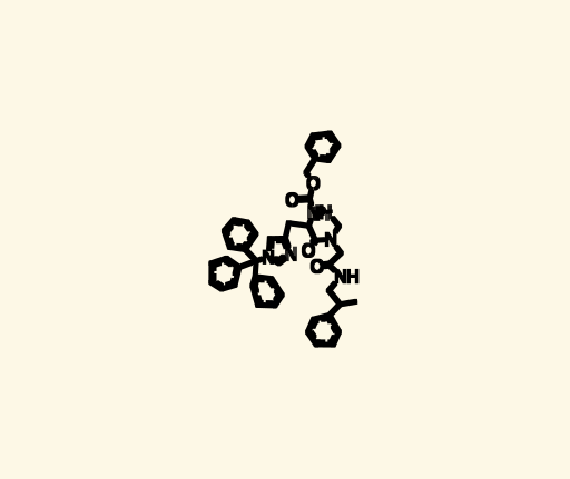 CC(C)CN(CC(=O)NCC(C)c1ccccc1)C(=O)C(Cc1cn(C(c2ccccc2)(c2ccccc2)c2ccccc2)cn1)NC(=O)OCc1ccccc1